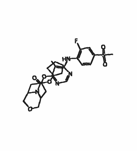 Cc1c(Nc2ccc(S(C)(=O)=O)cc2F)ncnc1OC1CC2COCC(C1)N2C(=O)OC1CCCC1